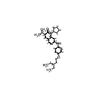 CCN(CC)CCOc1ccc(Nc2cc3c(cn2)cc(C(C)C)c(=O)n3C2CCCC2)nc1